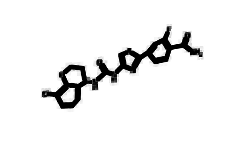 NC(=O)c1ccc(-c2nc(NC(=O)N[C@H]3CCOc4c(Cl)cccc43)cs2)cc1F